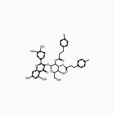 Cc1ccc(CCC(=O)OC2[C@H](Oc3c(-c4ccc(O)c(O)c4)oc4cc(O)cc(O)c4c3=O)OC(CO)C(O)[C@@H]2OC(=O)CCc2ccc(C)cc2)cc1